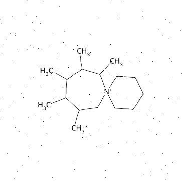 CC1C[N+]2(CCCCC2)C(C)C(C)C(C)C1C